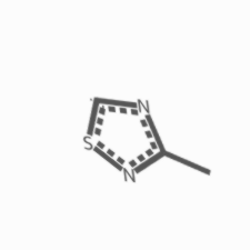 Cc1n[c]sn1